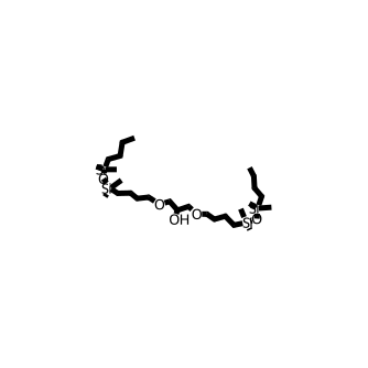 CCCC[Si](C)(C)O[Si](C)(C)CCCCOCC(O)COCCCC[Si](C)(C)O[Si](C)(C)CCCC